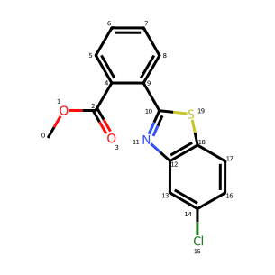 COC(=O)c1ccccc1-c1nc2cc(Cl)ccc2s1